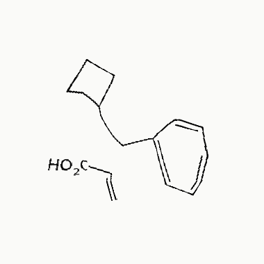 C=CC(=O)O.c1ccc(CC2CCC2)cc1